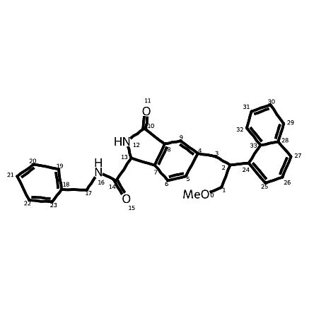 COCC(Cc1ccc2c(c1)C(=O)NC2C(=O)NCc1ccccc1)c1cccc2ccccc12